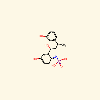 CC(CC(O)C1=CC(O)=CCC1=NP(=O)(O)O)c1cccc(O)c1